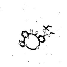 CCOB(OC(C)(C)CC)c1ccc2c(c1)C(=O)Nc1cccc(n1)-c1nncn1CCCOC2